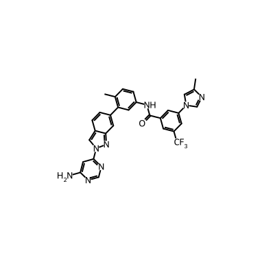 Cc1cn(-c2cc(C(=O)Nc3ccc(C)c(-c4ccc5cn(-c6cc(N)ncn6)nc5c4)c3)cc(C(F)(F)F)c2)cn1